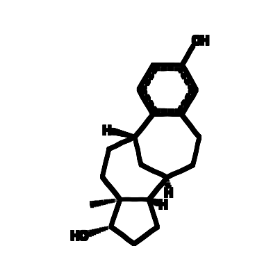 C[C@]12CC[C@H]3C[C@@H](CCc4cc(O)ccc43)[C@@H]1CC[C@@H]2O